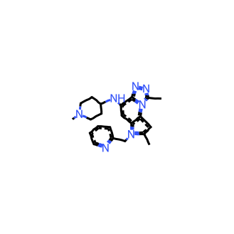 Cc1cc2c(cc(NC3CCN(C)CC3)c3nnc(C)n32)n1Cc1ccccn1